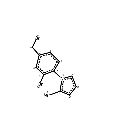 N#Cc1cccn1-c1ccc(CBr)cc1Br